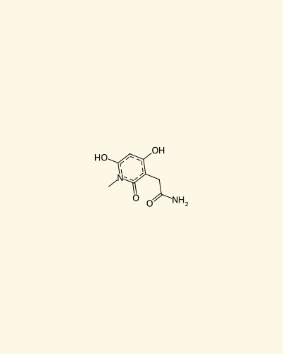 Cn1c(O)cc(O)c(CC(N)=O)c1=O